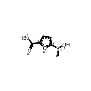 CB(O)c1ccc(C(=O)C(C)(C)C)o1